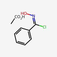 CC(=O)O.O/N=C(/Cl)c1ccccc1